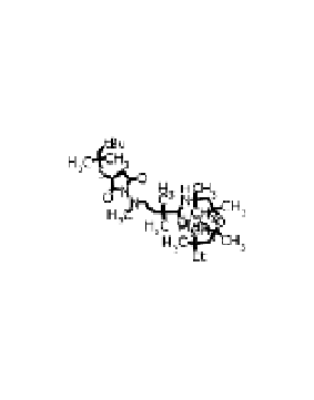 CCC(C)(C)CC(C)(C)OC(C)(C)CC(C)(C)NC(=O)C(C)(C)CCN(C)N1C(=O)CC(SC(C)(C)CC(C)(C)C)C1=O